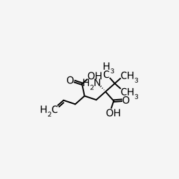 C=CCC(C[C@](N)(C(=O)O)C(C)(C)C)C(=O)O